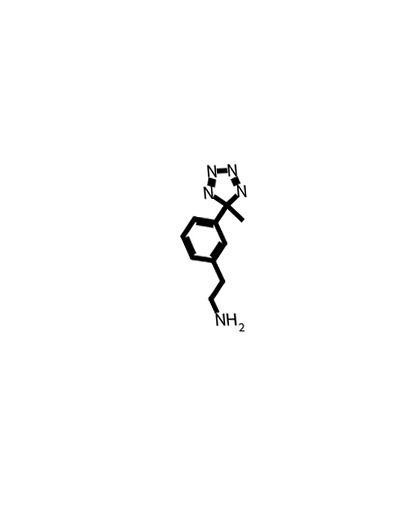 CC1(c2cccc(CCN)c2)N=NN=N1